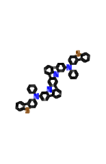 c1ccc(N(c2ccc3sc4ccccc4c3c2)c2ccc3c4cccc5c6cc7c(cc6n(c3c2)c45)c2cccc3c4ccc(N(c5ccccc5)c5ccc6sc8ccccc8c6c5)cc4n7c32)cc1